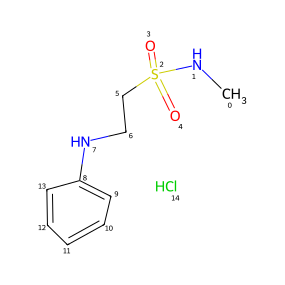 CNS(=O)(=O)CCNc1ccccc1.Cl